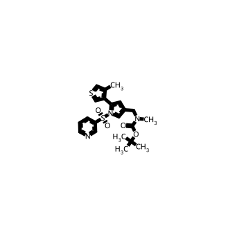 Cc1cscc1-c1cc(CN(C)C(=O)OC(C)(C)C)cn1S(=O)(=O)c1cccnc1